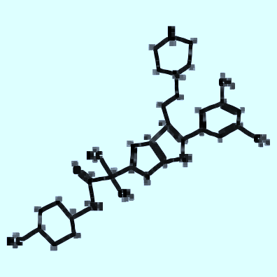 Cc1cc(C)cc(-c2[nH]c3sc(C(C)(C)C(=O)NC4CCC(C)CC4)cc3c2CCN2CCNCC2)c1